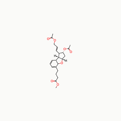 COC(=O)CCCC1=CC=CC2C1O[C@H]1C[C@@H](OC(C)=O)C(/C=C/COC(C)=O)[C@@H]21